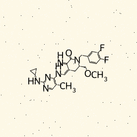 COC[C@H]1C/C(=C/Nc2nc(NC3CC3)ncc2C)C(=N)C(=O)N1Cc1ccc(F)c(F)c1